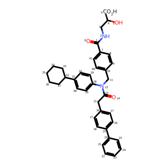 O=C(NCC(O)C(=O)O)c1ccc(CN(C(=O)Cc2ccc(-c3ccccc3)cc2)c2ccc(C3CCCCC3)cc2)cc1